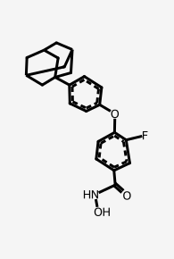 O=C(NO)c1ccc(Oc2ccc(C34CC5CC(CC(C5)C3)C4)cc2)c(F)c1